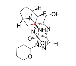 O=C(O)N[C@H]1C[C@@H]2CC[C@H]([C@H]1F)N2c1nc2c(nc1CO)c(I)nn2C1CCCCO1